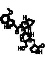 COc1cccc2[nH]c(C(=O)N3C[C@H]4CCC[C@H]4[C@H]3C(=O)N[C@@H](C[C@H]3CCNC3=O)C(=O)CO)cc12